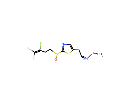 CO/N=C\Cc1cnc([S+]([O-])CCC(F)=C(F)F)s1